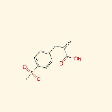 C=C(Cc1ccc(S(C)(=O)=O)cc1)C(=O)O